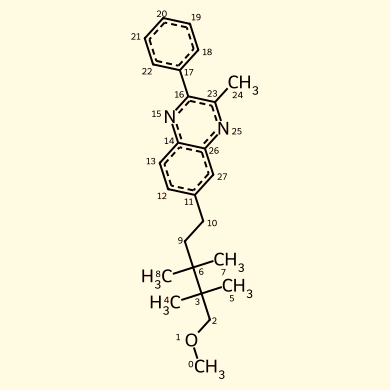 COCC(C)(C)C(C)(C)CCc1ccc2nc(-c3ccccc3)c(C)nc2c1